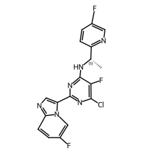 C[C@H](Nc1nc(-c2cnc3ccc(F)cn23)nc(Cl)c1F)c1ccc(F)cn1